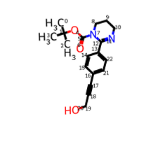 CC(C)(C)OC(=O)N1CCCN=C1c1ccc(C#CCO)cc1